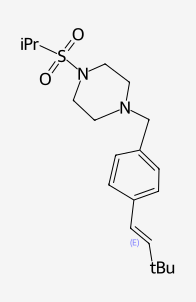 CC(C)S(=O)(=O)N1CCN(Cc2ccc(/C=C/C(C)(C)C)cc2)CC1